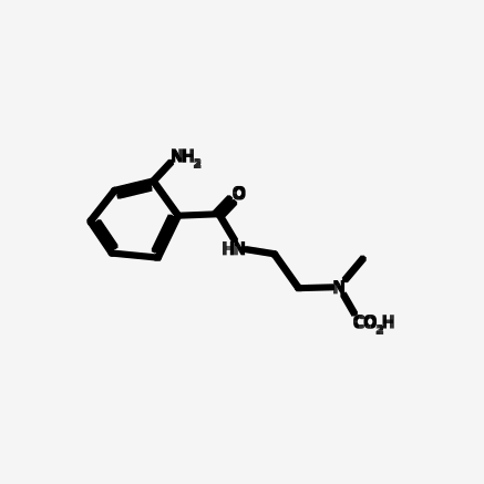 CN(CCNC(=O)c1ccccc1N)C(=O)O